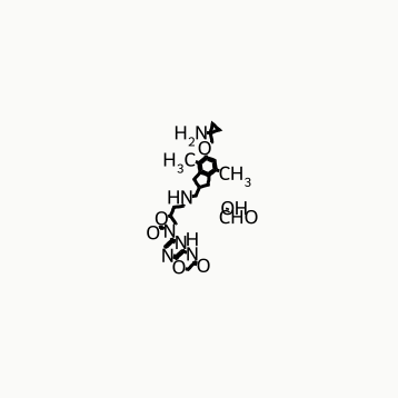 Cc1cc(OCC2(N)CC2)c(C)c2c1CC(CNCCC1CN(c3cnc4c(n3)NC(=O)CO4)C(=O)O1)C2.O=CO